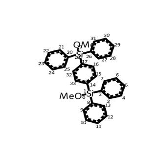 CO[Si](c1ccccc1)(c1ccccc1)c1ccc([Si](OC)(c2ccccc2)c2ccccc2)cc1